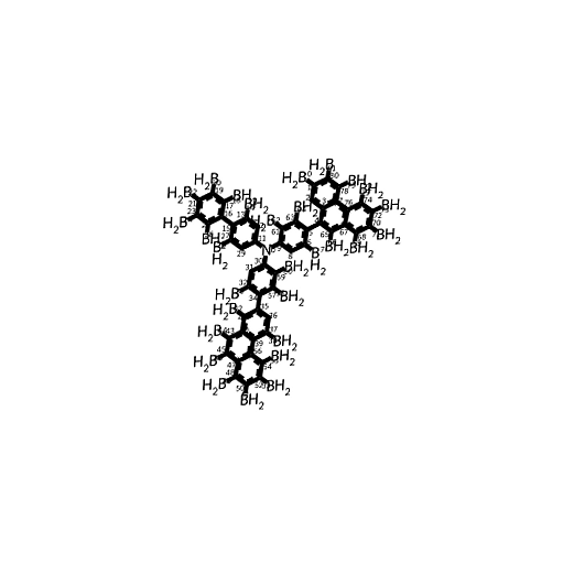 Bc1cc2c(-c3c(B)cc(N(c4cc(B)c(-c5c(B)c(B)c(B)c(B)c5B)c(B)c4)c4cc(B)c(-c5cc(B)c6c(c5B)c(B)c(B)c5c(B)c(B)c(B)c(B)c56)c(B)c4B)c(B)c3B)c(B)c3c(B)c(B)c(B)c(B)c3c2c(B)c1B